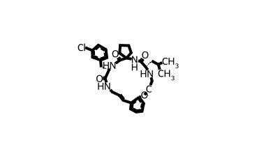 CC(C)C[C@@H]1NCCOc2ccccc2/C=C/CNC(=O)[C@H](Cc2cccc(Cl)c2)NC(=O)C2(CCCC2)NC1=O